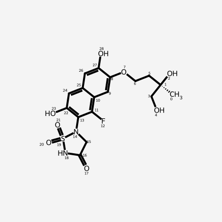 C[C@](O)(CO)CCOc1cc2c(F)c(N3CC(=O)NS3(=O)=O)c(O)cc2cc1O